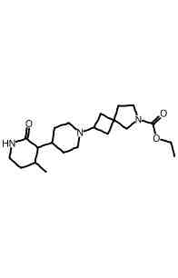 CCOC(=O)N1CCC2(CC(N3CCC(C4C(=O)NCCC4C)CC3)C2)C1